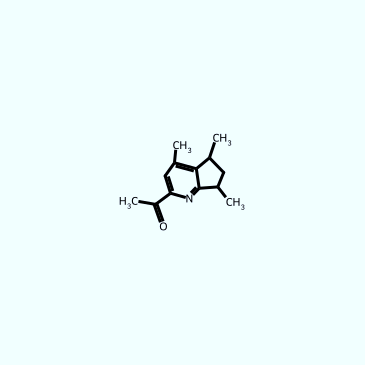 CC(=O)c1cc(C)c2c(n1)C(C)CC2C